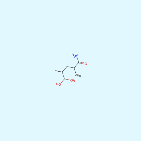 CCCCC(CC(C)C(O)O)C(N)=O